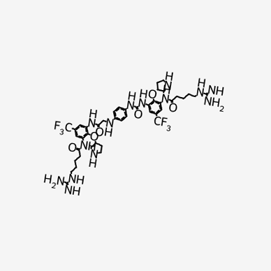 N=C(N)NCCCCC(=O)Nc1cc(C(F)(F)F)cc(NC(=O)CNc2ccc(NC(=O)Nc3cc(C(F)(F)F)cc(NC(=O)CCCCNC(=N)N)c3OC3CCNC3)cc2)c1OC1CCNC1